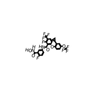 O=C(NO)c1cc(NC(=O)c2c(Oc3ccc(OC(F)(F)F)cc3C3CC3)ccc(C(F)(F)F)c2F)ccc1F